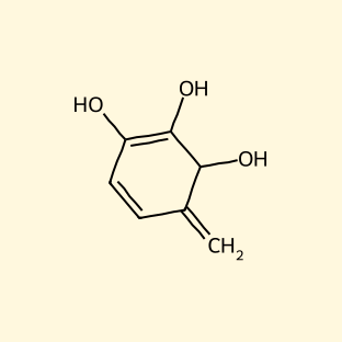 C=C1C=CC(O)=C(O)C1O